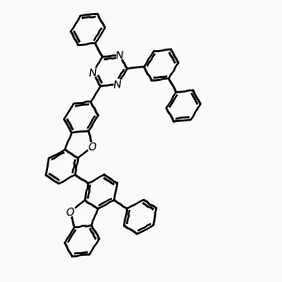 c1ccc(-c2cccc(-c3nc(-c4ccccc4)nc(-c4ccc5c(c4)oc4c(-c6ccc(-c7ccccc7)c7c6oc6ccccc67)cccc45)n3)c2)cc1